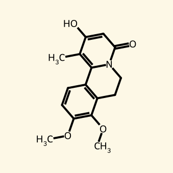 COc1ccc2c(c1OC)CCn1c-2c(C)c(O)cc1=O